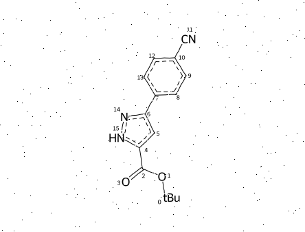 CC(C)(C)OC(=O)c1cc(-c2ccc(C#N)cc2)n[nH]1